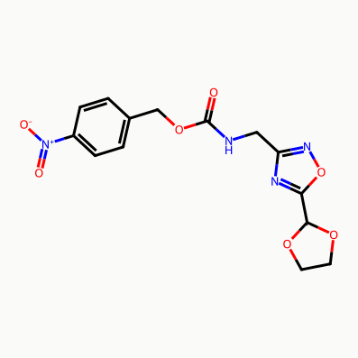 O=C(NCc1noc([C]2OCCO2)n1)OCc1ccc([N+](=O)[O-])cc1